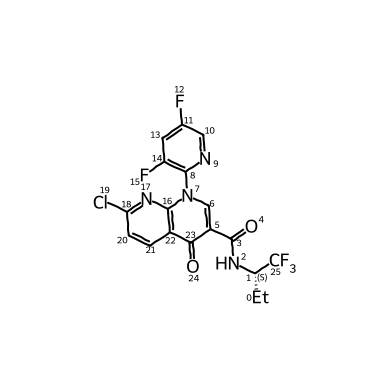 CC[C@H](NC(=O)c1cn(-c2ncc(F)cc2F)c2nc(Cl)ccc2c1=O)C(F)(F)F